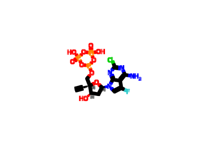 C#C[C@]1(COP2OP(=O)(O)OP(=O)(O)O2)O[C@@H](n2cc(F)c3c(N)nc(Cl)nc32)C[C@@H]1O